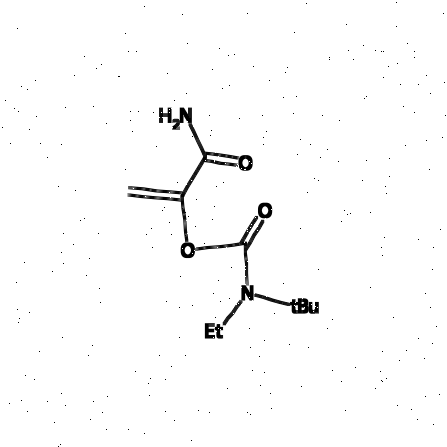 C=C(OC(=O)N(CC)C(C)(C)C)C(N)=O